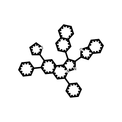 c1ccc(-c2cc3cc(-c4ccccc4)n4nc(-c5cc6ccccc6o5)c(-c5ccc6ccccc6c5)c4c3cc2-c2cccs2)cc1